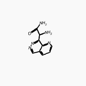 NC(=O)C(N)c1nncc2cccnc12